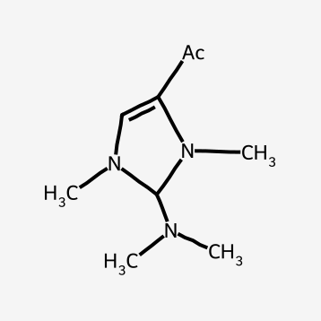 CC(=O)C1=CN(C)C(N(C)C)N1C